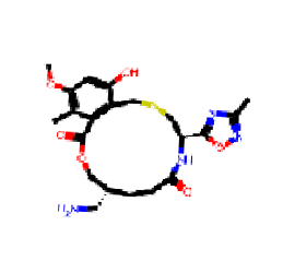 COc1cc(O)c2c(c1C)C(=O)OC[C@@H](CN)CCC(=O)N[C@H](c1nc(C)no1)CSC2